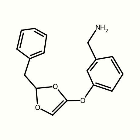 NCc1cccc(OC2=COC(Cc3ccccc3)O2)c1